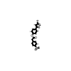 O=C(Cc1ccc([N+](=O)[O-])cc1)Oc1ccc(-c2cc(=S)ss2)cc1